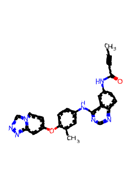 CC#CC(=O)Nc1ccc2ncnc(Nc3ccc(Oc4ccn5cnnc5c4)c(C)c3)c2c1